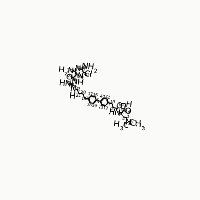 CN(C)CC[C@H](NC(=O)CCc1ccc(-c2ccc(CCCCNC(=N)NC(=O)c3nc(Cl)c(N)nc3N)cc2)cc1)C(=O)O